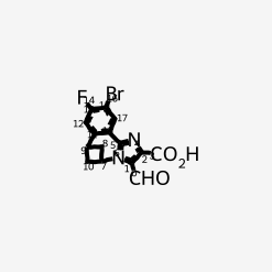 O=Cc1c(C(=O)O)nc2n1C1CC(C1)c1cc(F)c(Br)cc1-2